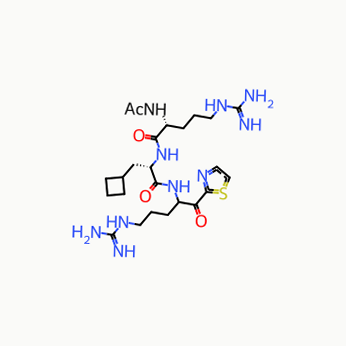 CC(=O)N[C@H](CCCNC(=N)N)C(=O)N[C@@H](CC1CCC1)C(=O)NC(CCCNC(=N)N)C(=O)c1nccs1